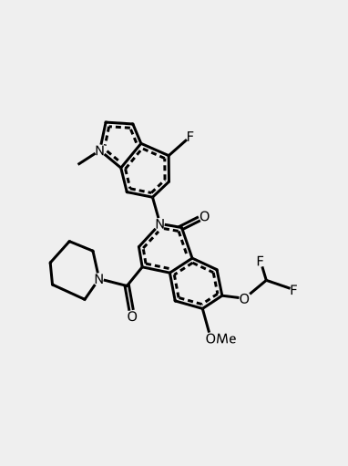 COc1cc2c(C(=O)N3CCCCC3)cn(-c3cc(F)c4ccn(C)c4c3)c(=O)c2cc1OC(F)F